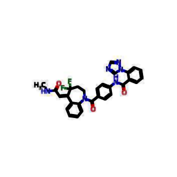 CNC(=O)C=C1c2ccccc2N(C(=O)c2ccc(NC(=O)c3ccccc3-n3cncn3)cc2)CCC1(F)F